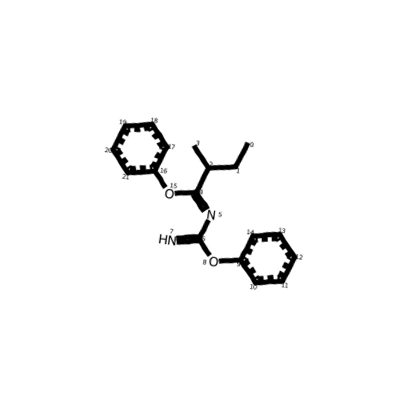 CCC(C)C(=NC(=N)Oc1ccccc1)Oc1ccccc1